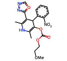 COCCOC(=O)OC1=C(C)NC(C)=C(c2nnco2)C1c1ccccc1[N+](=O)[O-]